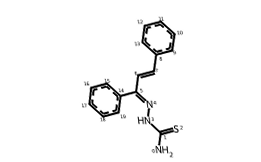 NC(=S)NN=C(C=Cc1ccccc1)c1ccccc1